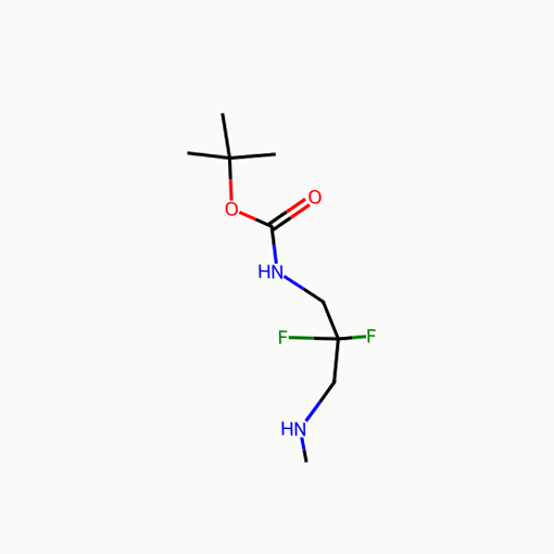 CNCC(F)(F)CNC(=O)OC(C)(C)C